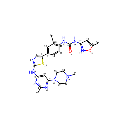 Cc1nc(Nc2ncc(-c3ccc(NC(=O)Nc4cc(C)on4)c(C)c3)s2)cc(N2CCN(C)CC2)n1